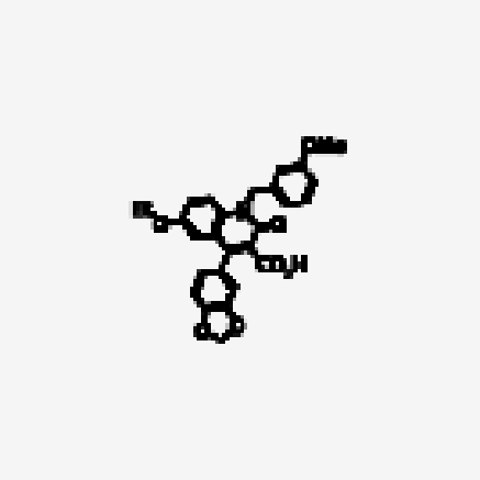 CCOc1ccc2c(c1)c(-c1ccc3c(c1)OCO3)c(C(=O)O)c(=O)n2Cc1cccc(OC)c1